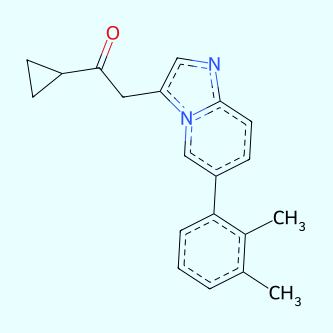 Cc1cccc(-c2ccc3ncc(CC(=O)C4CC4)n3c2)c1C